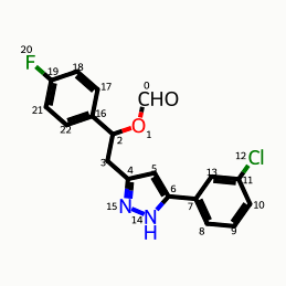 O=COC(Cc1cc(-c2cccc(Cl)c2)[nH]n1)c1ccc(F)cc1